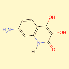 CCn1c(=O)c(O)c(O)c2ccc(N)cc21